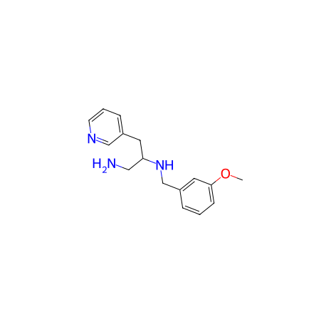 COc1cccc(CNC(CN)Cc2cccnc2)c1